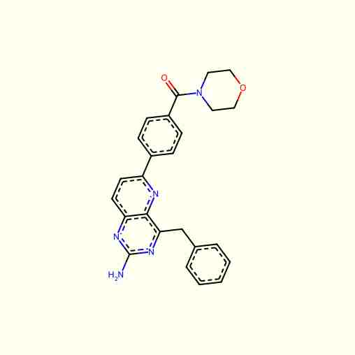 Nc1nc(Cc2ccccc2)c2nc(-c3ccc(C(=O)N4CCOCC4)cc3)ccc2n1